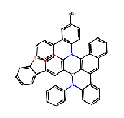 CCCCc1ccc(N2c3cc4sc5ccccc5c4cc3B3c4c(cc5ccccc5c42)-c2ccccc2N3c2ccccc2)c(-c2ccccc2)c1